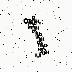 NCC(=O)NC(CS)C(=O)NCC(=O)NCC(=O)NCC(=O)NC(S)C(=O)N[C@@H](Cc1ccccc1)C(N)=O